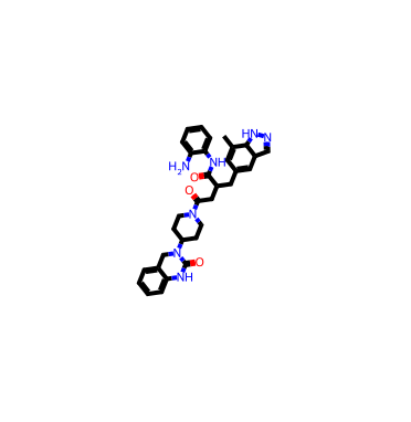 CC1=CC(CC(CC(=O)N2CCC(N3Cc4ccccc4NC3=O)CC2)C(=O)Nc2ccccc2N)=CC2C=NNC12